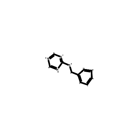 c1ccc(CSc2ncncn2)cc1